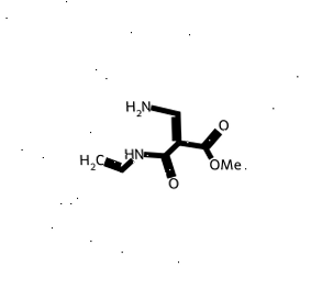 C=CNC(=O)/C(=C\N)C(=O)OC